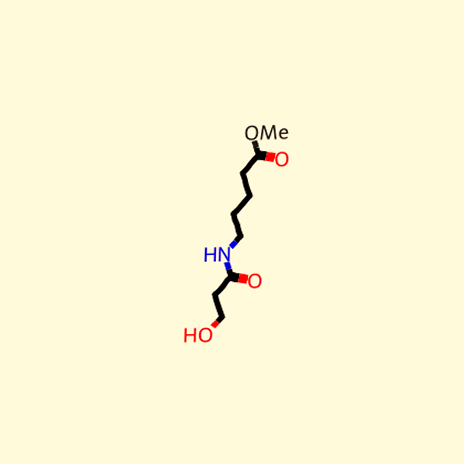 COC(=O)CCCCNC(=O)CCO